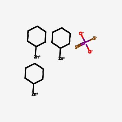 [O-]P([O-])(=S)[S-].[Zn+][CH]1CCCCC1.[Zn+][CH]1CCCCC1.[Zn+][CH]1CCCCC1